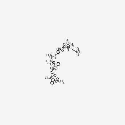 CC(=O)Oc1cc2c(c3ccccc13)C(CCl)CN2C(=O)c1ccc(C(=O)N2CCc3c2cc(OC(=O)N(C)CCN(C)C(=O)OCc2ccc(NC(=O)CNC(=O)C(NC(=O)CCCCCN4C(=O)C=CC4=O)C(C)C)cc2)c2ccccc32)s1